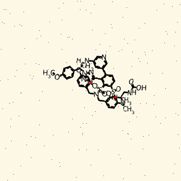 COc1ccc(CN(Cc2ccc(OC)cc2)S(=O)(=O)c2c(S(=O)(=O)NC(C)CNC(=O)O)ccc(-c3cncc(N)c3)c2-c2nnn(Cc3ccc(OC)cc3)n2)cc1